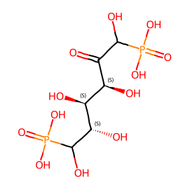 O=C(C(O)P(=O)(O)O)[C@@H](O)[C@H](O)[C@H](O)C(O)P(=O)(O)O